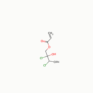 C=CC(=O)OCC(O)(Cl)C(Cl)OC(C)=O